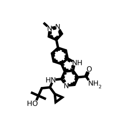 Cn1cc(-c2ccc3c(c2)[nH]c2c(C(N)=O)cnc(NC(CC(C)(C)O)C4CC4)c23)cn1